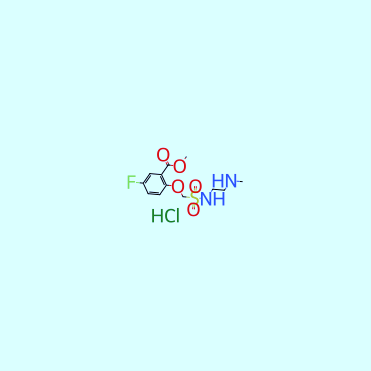 CNCCNS(=O)(=O)COc1ccc(F)cc1C(=O)OC.Cl